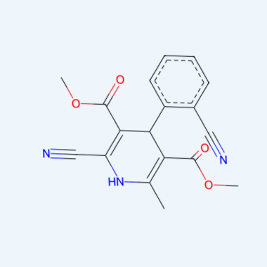 COC(=O)C1=C(C)NC(C#N)=C(C(=O)OC)C1c1ccccc1C#N